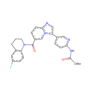 COC(=O)Nc1ccc(-c2cnc3ccc(C(=O)N4CCCc5cc(F)ccc54)cn23)cn1